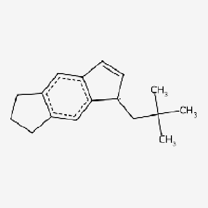 CC(C)(C)C[C]1C=Cc2cc3c(cc21)CCC3